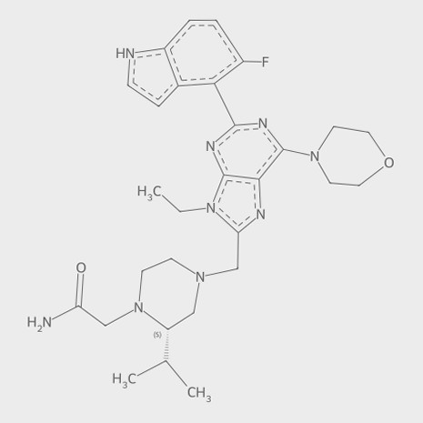 CCn1c(CN2CCN(CC(N)=O)[C@@H](C(C)C)C2)nc2c(N3CCOCC3)nc(-c3c(F)ccc4[nH]ccc34)nc21